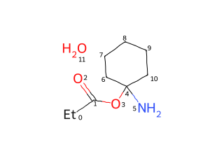 CCC(=O)OC1(N)CCCCC1.O